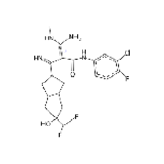 CN/C(N)=C(\C(=N)C1CC2CC(O)(C(F)F)CC2C1)C(=O)Nc1ccc(F)c(Cl)c1